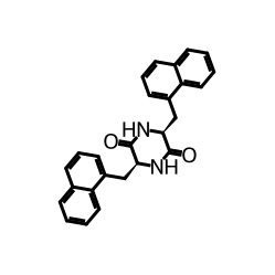 O=C1N[C@@H](Cc2cccc3ccccc23)C(=O)N[C@H]1Cc1cccc2ccccc12